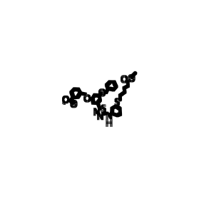 CCOC(=O)CCCCCSc1cccc(Nc2nnc(-c3cc(OCc4ccccc4)cc(OCc4cccc(C(=O)OC)c4)c3)s2)c1